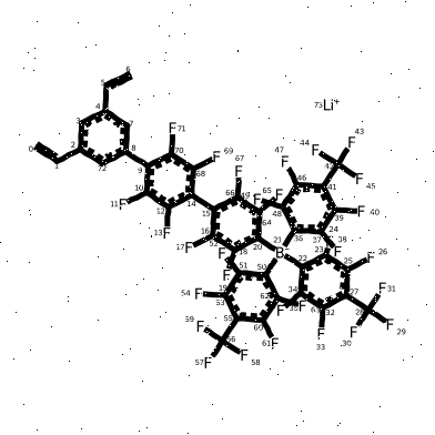 C=Cc1cc(C=C)cc(-c2c(F)c(F)c(-c3c(F)c(F)c([B-](c4c(F)c(F)c(C(F)(F)F)c(F)c4F)(c4c(F)c(F)c(C(F)(F)F)c(F)c4F)c4c(F)c(F)c(C(F)(F)F)c(F)c4F)c(F)c3F)c(F)c2F)c1.[Li+]